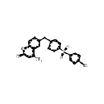 CCc1ccc(S(=O)(=O)c2ccc(Cc3ccc4oc(=O)cc(C(F)(F)F)c4c3)cc2)cc1